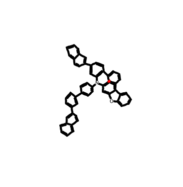 c1ccc(-c2ccc(-c3ccc4ccccc4c3)cc2N(c2ccc(-c3cccc(-c4ccc5ccccc5c4)c3)cc2)c2ccc3c(c2)oc2ccccc23)cc1